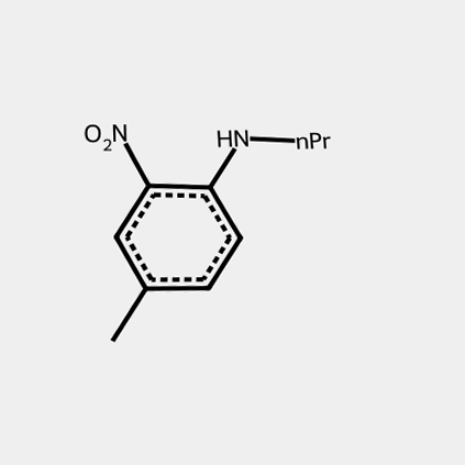 CCCNc1ccc(C)cc1[N+](=O)[O-]